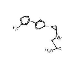 NC(=O)CN[C@@H]1C[C@H]1c1ccc(-c2cccc(C(F)(F)F)c2)cc1